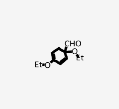 CCOC1=CCC(C=O)(OCC)C=C1